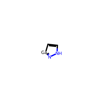 C1=[CH][Ga]=[N]N1